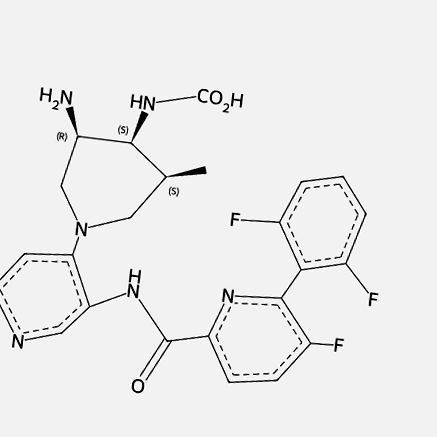 C[C@H]1CN(c2ccncc2NC(=O)c2ccc(F)c(-c3c(F)cccc3F)n2)C[C@@H](N)[C@H]1NC(=O)O